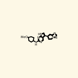 COC1CCC(Nc2ncc3c(-c4ccn5ncnc5c4)c[nH]c3n2)CC1